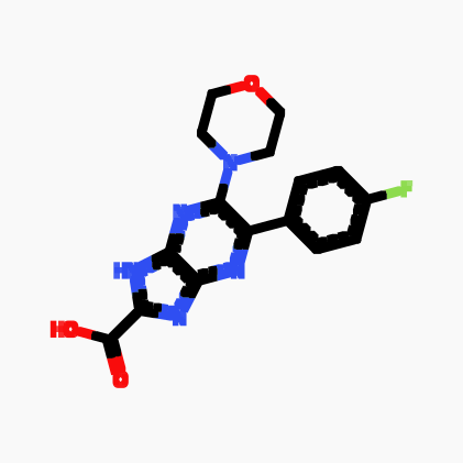 O=C(O)c1nc2nc(-c3ccc(F)cc3)c(N3CCOCC3)nc2[nH]1